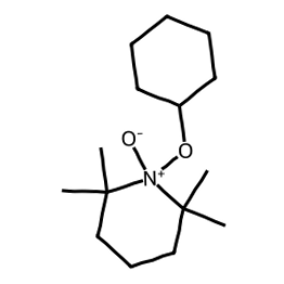 CC1(C)CCCC(C)(C)[N+]1([O-])OC1CCCCC1